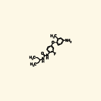 CCC(CC)NC(=O)Nc1ccc(Oc2ccc(N)cc2C)cc1F